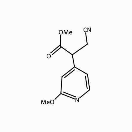 COC(=O)C(CC#N)c1ccnc(OC)c1